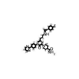 NC(=O)C1CCN(c2nc(CCCNC3C[C@H]3c3ccc(F)cc3)cn(-c3ccc(-c4ncccn4)cc3)c2=O)CC1